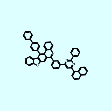 c1ccc(-c2ccc(-c3c4c(cc5c(-c6cccc(-c7cc(-c8cccc9ccccc89)nc(-c8ccccc8)n7)c6)nc6ccccc6c35)oc3ccccc34)cc2)cc1